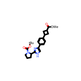 COC(=O)C1CC(c2ccc(-c3c[nH]c(C4CCCN4C(=O)OC(C)(C)C)n3)cc2)C1